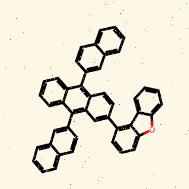 c1ccc2cc(-c3c4ccccc4c(-c4ccc5ccccc5c4)c4cc(-c5cccc6oc7ccccc7c56)ccc34)ccc2c1